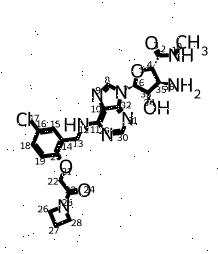 CNC(=O)[C@H]1O[C@@H](n2cnc3c(NCc4cc(Cl)ccc4OCC(=O)N4CCC4)ncnc32)[C@H](O)[C@@H]1N